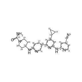 N#Cc1ccnc(Nc2cc(C3CC3)cc(-c3ccc(NC4CCN(C(N)=O)CC4)nc3)n2)c1